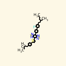 CCCCC(CC)CCc1ccc(-c2ccc(-c3c4c(c(-c5ccc(-c6ccc(CCC(C)CC)cc6)s5)c5nsnc35)N=S=N4)cc2)c(F)c1